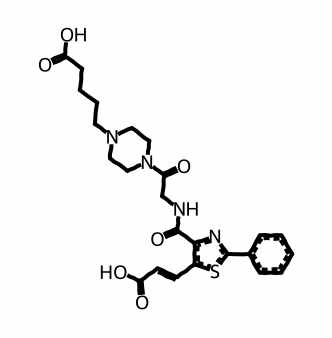 O=C(O)/C=C/c1sc(-c2ccccc2)nc1C(=O)NCC(=O)N1CCN(CCCCC(=O)O)CC1